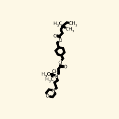 CCC(C)(C)CCC(=O)OCC1CCC(COC(=O)CCN(CCCN2CCOCC2)C(C)(C)C)CC1